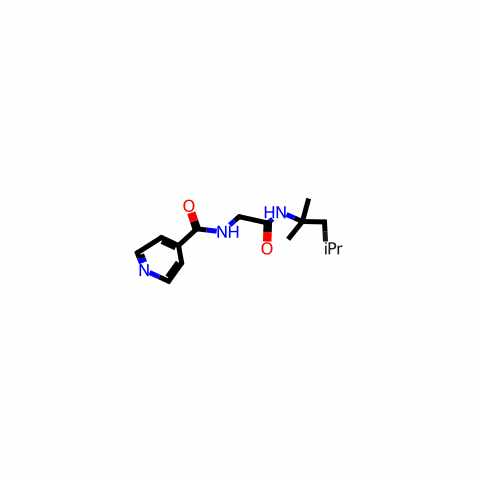 CC(C)CC(C)(C)NC(=O)CNC(=O)c1ccncc1